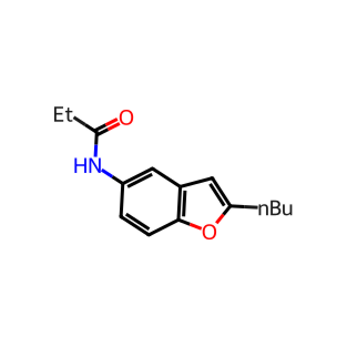 CCCCc1cc2cc(NC(=O)CC)ccc2o1